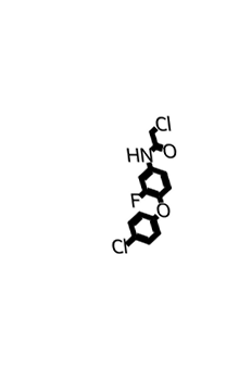 O=C(CCl)Nc1ccc(Oc2ccc(Cl)cc2)c(F)c1